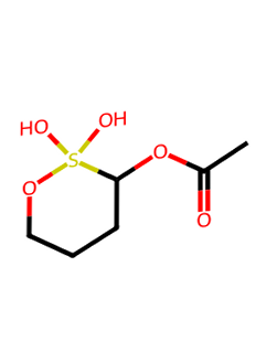 CC(=O)OC1CCCOS1(O)O